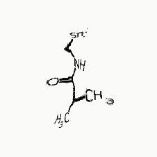 CC(C)C(=O)N[CH2][Sn]